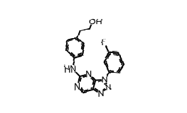 OCCc1ccc(Nc2ncc3nnn(-c4cccc(F)c4)c3n2)cc1